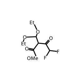 CCOC(OCC)C(C(=O)OC)C(=O)C(F)F